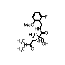 COc1cccc(F)c1CNC(=O)C(C)(CO)NCC(=O)N(C)C